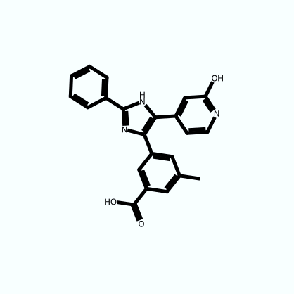 Cc1cc(C(=O)O)cc(-c2nc(-c3ccccc3)[nH]c2-c2ccnc(O)c2)c1